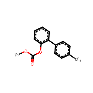 CC(C)OC(=O)Oc1ccccc1-c1ccc(C(F)(F)F)cc1